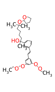 CCOCOc1cc(C=Cc2cccc(C(C)(O)CCCCC(C)(C)OC3CCCCO3)c2)cc(OCOCC)c1